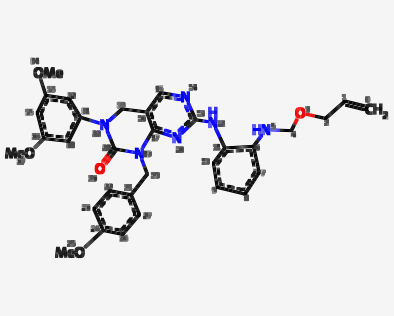 C=CCOCNc1ccccc1Nc1ncc2c(n1)N(Cc1ccc(OC)cc1)C(=O)N(c1cc(OC)cc(OC)c1)C2